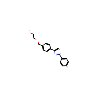 CC(C)(C)OCCOCc1ccc(-c2csc(-c3ccc(F)cc3)n2)cc1